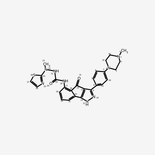 CN1CCN(c2ccc(-c3n[nH]c4c3C(=O)c3c(NC(=O)NN(C)c5nccs5)cccc3-4)cc2)CC1